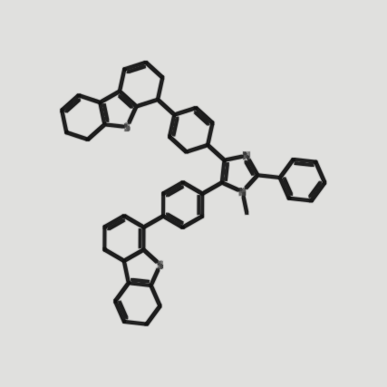 Cn1c(-c2ccccc2)nc(C2C=CC(C3CC=Cc4c3sc3c4C=CCC3)=CC2)c1-c1ccc(C2=C3SC4=C(C=CCC4)C3CC=C2)cc1